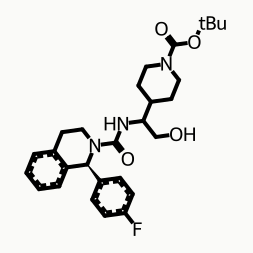 CC(C)(C)OC(=O)N1CCC(C(CO)NC(=O)N2CCc3ccccc3[C@@H]2c2ccc(F)cc2)CC1